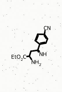 CCOC(=O)C(N)CC(=N)c1ccc(C#N)cc1